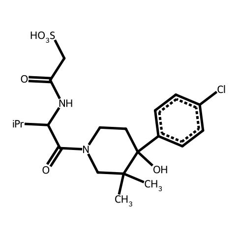 CC(C)C(NC(=O)CS(=O)(=O)O)C(=O)N1CCC(O)(c2ccc(Cl)cc2)C(C)(C)C1